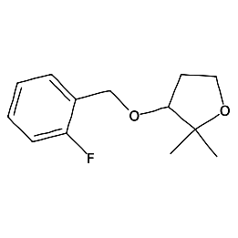 CC1(C)OCCC1OCc1ccccc1F